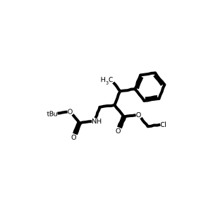 CC(c1ccccc1)C(CNC(=O)OC(C)(C)C)C(=O)OCCl